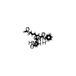 CC(=O)SCCCCC[C@H](NC(=O)[C@H]1CCC(=O)N1)C(=O)Nc1ccccc1